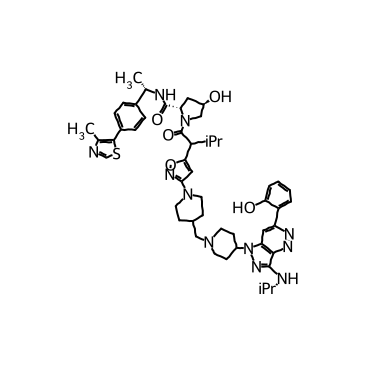 Cc1ncsc1-c1ccc([C@H](C)NC(=O)[C@@H]2C[C@@H](O)CN2C(=O)C(c2cc(N3CCC(CN4CCC(n5nc(NC(C)C)c6nnc(-c7ccccc7O)cc65)CC4)CC3)no2)C(C)C)cc1